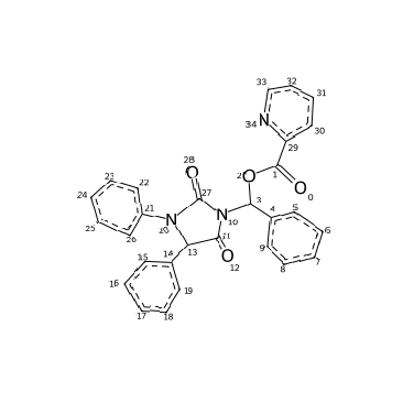 O=C(OC(c1ccccc1)N1C(=O)C(c2ccccc2)N(c2ccccc2)C1=O)c1ccccn1